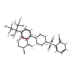 C[C@H]1COCCN1C[C@H]1CN(S(=O)(=O)C2=CC=CCC2=S)CCN1c1ccc(C(O)(C(F)(F)F)C(F)(F)F)cc1